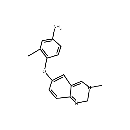 Cc1cc(N)ccc1Oc1ccc2c(c1)=CN(C)CN=2